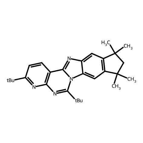 CC(C)(C)c1ccc2c(n1)nc(C(C)(C)C)n1c3cc4c(cc3nc21)C(C)(C)CC4(C)C